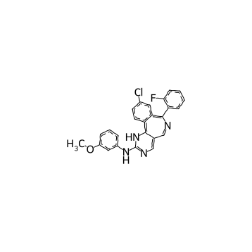 COc1cccc(NC2=NC=C3C=NC(c4ccccc4F)=c4cc(Cl)ccc4=C3N2)c1